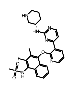 Cc1c(F)c(NS(C)(=O)=O)c2ccccc2c1Oc1ncccc1-c1ccnc(N[C@H]2CCCNC2)n1